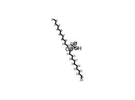 CCCCCCCCCCCCOCCCCCCCCCCCC.CS(=O)(=O)O